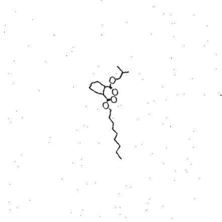 CCCCCCCCCOC(=O)C1CCCCC1C(=O)OCC(C)C